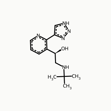 CC(C)(C)NC[C@H](O)c1cccnc1-c1c[nH]nn1